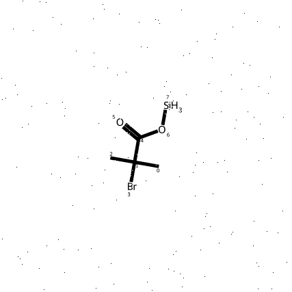 CC(C)(Br)C(=O)O[SiH3]